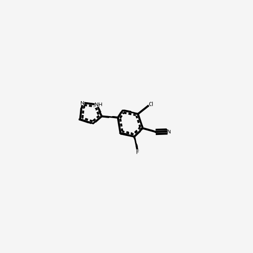 N#Cc1c(F)cc(-c2ccn[nH]2)cc1Cl